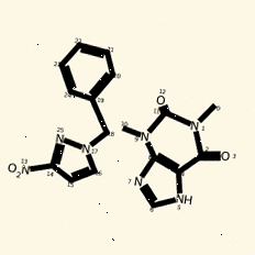 Cn1c(=O)c2[nH]cnc2n(C)c1=O.O=[N+]([O-])c1ccn(Cc2ccccc2)n1